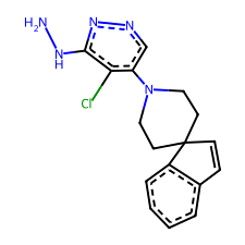 NNc1nncc(N2CCC3(C=Cc4ccccc43)CC2)c1Cl